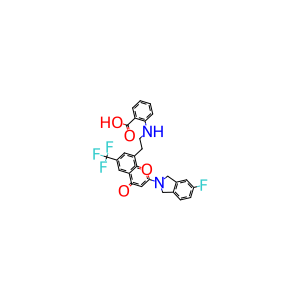 O=C(O)c1ccccc1NCCc1cc(C(F)(F)F)cc2c(=O)cc(N3Cc4ccc(F)cc4C3)oc12